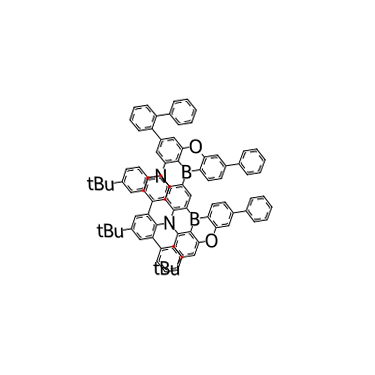 CC(C)(C)c1ccc(N2c3cc4c(cc3B3c5ccc(-c6ccccc6)cc5Oc5cc(-c6ccccc6-c6ccccc6)cc2c53)B2c3ccc(-c5ccccc5)cc3Oc3cc(C(C)(C)C)cc(c32)N4c2c(-c3ccccc3)cc(C(C)(C)C)cc2-c2ccccc2)cc1